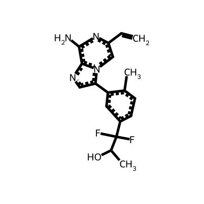 C=Cc1cn2c(-c3cc(C(F)(F)C(C)O)ccc3C)cnc2c(N)n1